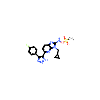 CS(=O)(=O)ONc1nc2ccc(-c3[nH]nnc3-c3ccc(F)cc3)nc2n1CC1CC1